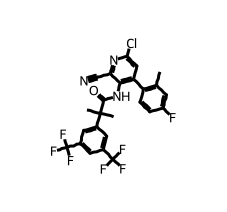 Cc1cc(F)ccc1-c1cc(Cl)nc(C#N)c1NC(=O)C(C)(C)c1cc(C(F)(F)F)cc(C(F)(F)F)c1